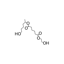 CC(CCCCO)OC(=O)CCCCC(=O)OCCO